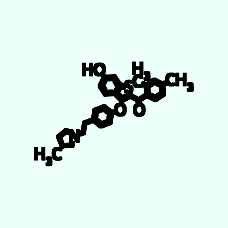 Cc1ccc(C(=O)c2sc3cc(O)ccc3c2Oc2ccc(CCN3CC[C@H](C)C3)cc2)c(C)c1